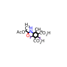 CC(=O)O[C@@H](C)C(=O)Nc1c(C)c(C(=O)O)c(I)c(C(=O)O)c1I